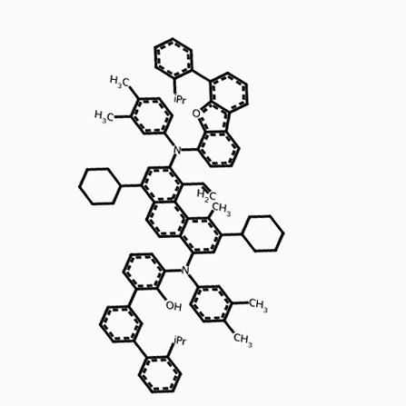 C=Cc1c(N(c2ccc(C)c(C)c2)c2cccc3c2oc2c(-c4ccccc4C(C)C)cccc23)cc(C2CCCCC2)c2ccc3c(N(c4ccc(C)c(C)c4)c4cccc(-c5cccc(-c6ccccc6C(C)C)c5)c4O)cc(C4CCCCC4)c(C)c3c12